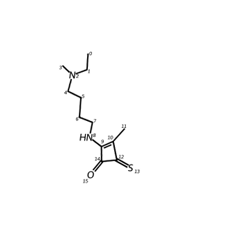 CCN(C)CCCCNc1c(C)c(=S)c1=O